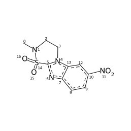 CN1CCn2c(nc3ccc([N+](=O)[O-])cc32)S1(=O)=O